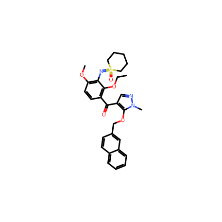 CCOc1c(C(=O)c2cnn(C)c2OCc2ccc3ccccc3c2)ccc(OC)c1N=S1(=O)CCCCC1